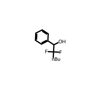 CCCCC(F)(F)C(O)c1ccccc1